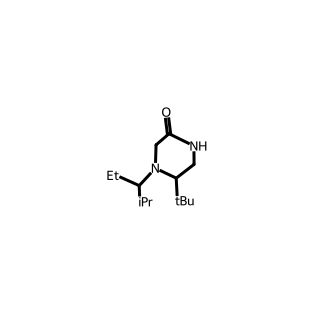 CCC(C(C)C)N1CC(=O)NCC1C(C)(C)C